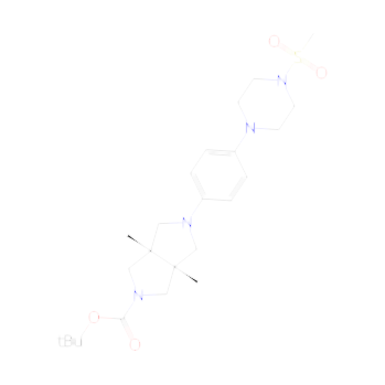 CC(C)(C)OC(=O)N1C[C@@]2(C)CN(c3ccc(N4CCN(S(C)(=O)=O)CC4)cc3)C[C@@]2(C)C1